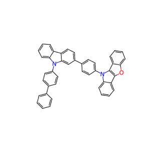 c1ccc(-c2ccc(-n3c4ccccc4c4ccc(-c5ccc(-n6c7ccccc7c7oc8ccccc8c76)cc5)cc43)cc2)cc1